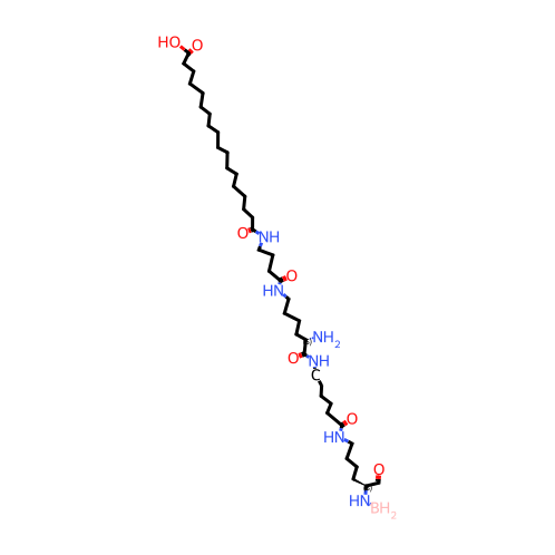 BN[C@H](C=O)CCCCNC(=O)CCCCCNC(=O)[C@@H](N)CCCCNC(=O)CCCNC(=O)CCCCCCCCCCCCCCCCC(=O)O